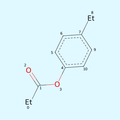 CCC(=O)Oc1ccc(CC)cc1